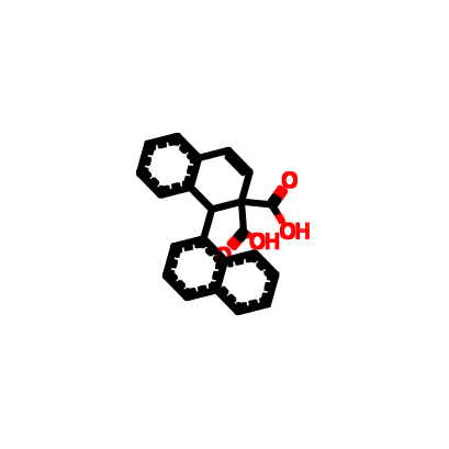 O=C(O)C1(C(=O)O)C=Cc2ccccc2C1c1cccc2ccccc12